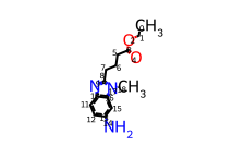 CCOC(=O)CCCc1nc2ccc(N)cc2n1C